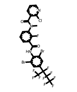 CN(C(=O)c1cccnc1Cl)c1cccc(C(=O)Nc2c(Br)cc(C(F)(C(F)(F)F)C(F)(F)C(F)(F)F)cc2Br)c1F